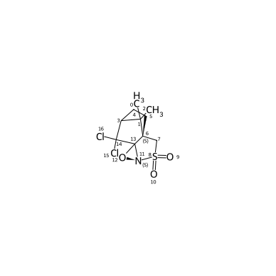 CC1(C)C2CC[C@]13CS(=O)(=O)[N@@]1OC13C2(Cl)Cl